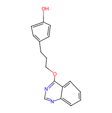 Oc1ccc(CCCOc2ncnc3ccccc23)cc1